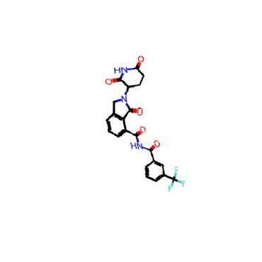 O=C1CCC(N2Cc3cccc(C(=O)NC(=O)c4cccc(C(F)(F)F)c4)c3C2=O)C(=O)N1